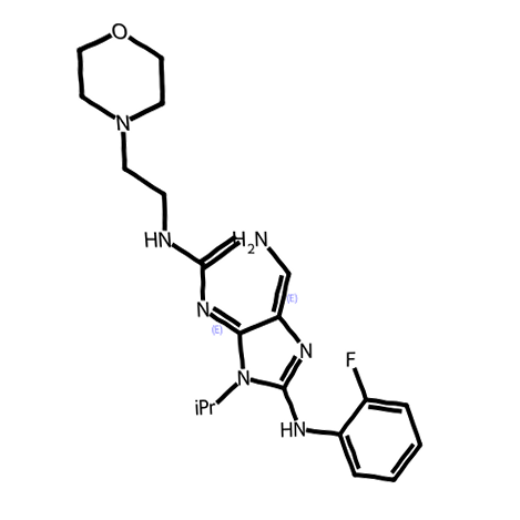 C=C(/N=C1\C(=C/N)N=C(Nc2ccccc2F)N1C(C)C)NCCN1CCOCC1